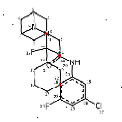 O=C(CN1CC2CC(C1)N2CC(F)(F)C1CCCCC1)Nc1cc(F)cc(Cl)c1